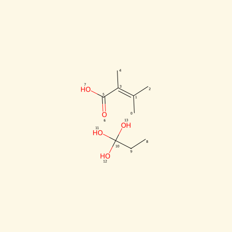 CC(C)=C(C)C(=O)O.CCC(O)(O)O